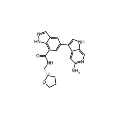 Nc1cc2c(-c3cc(C(=O)NC[C@@H]4CCCO4)c4[nH]ncc4c3)c[nH]c2cn1